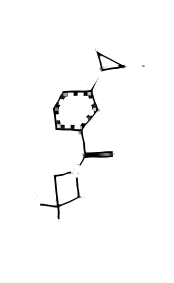 CC[C@H]1C[C@@H]1c1cccc(C(=O)N2CC(C)(C)C2)c1